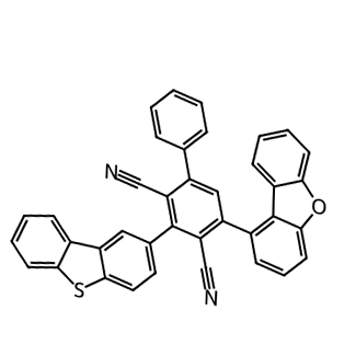 N#Cc1c(-c2ccccc2)cc(-c2cccc3oc4ccccc4c23)c(C#N)c1-c1ccc2sc3ccccc3c2c1